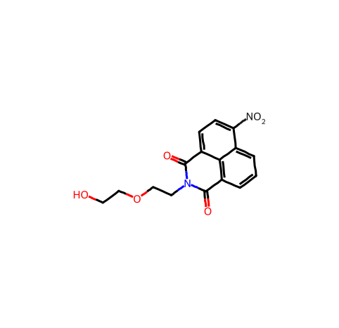 O=C1c2cccc3c([N+](=O)[O-])ccc(c23)C(=O)N1CCOCCO